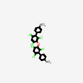 O=[N+]([O-])c1ccc(-c2c(Cl)cc(Cl)c(Oc3c(Cl)cc(Cl)c(-c4ccc([N+](=O)[O-])cc4)c3Cl)c2Cl)cc1